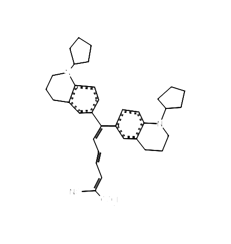 N#C/C(=C\C=C\C=C(c1ccc2c(c1)CCCN2C1CCCC1)c1ccc2c(c1)CCCN2C1CCCC1)C(=O)O